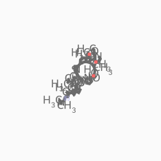 CCn1c(-c2cccnc2[C@H](C)OC)c2c3cc(ccc31)-c1csc(n1)C[C@H](NC(=O)[C@H](C(C)C)N(C)C(=O)N1CCC13CN(C(=O)/C=C/CN(C)C)C3)C(=O)N1CCC[C@H](N1)C(=O)OCC(C)(C)C2